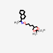 C/C(=N/OCCCCC1COC(C)(C(=O)O)OC1)c1ccc2ccccc2c1